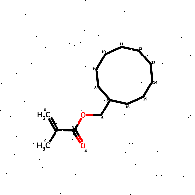 C=C(C)C(=O)OCC1CCCCCCCCC1